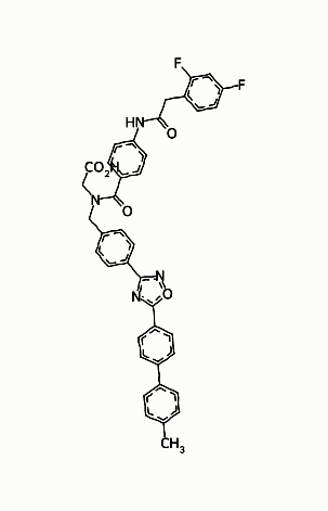 Cc1ccc(-c2ccc(-c3nc(-c4ccc(CN(CC(=O)O)C(=O)c5ccc(NC(=O)Cc6ccc(F)cc6F)cc5)cc4)no3)cc2)cc1